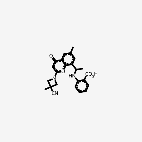 Cc1cc(C(C)Nc2ccccc2C(=O)O)c2oc(N3CC(C)(C#N)C3)cc(=O)c2c1